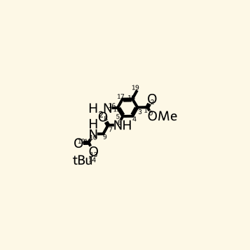 COC(=O)c1cc(NC(=O)CNC(=O)OC(C)(C)C)c(N)cc1C